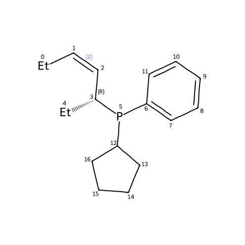 CC/C=C\[C@@H](CC)P(c1ccccc1)C1CCCC1